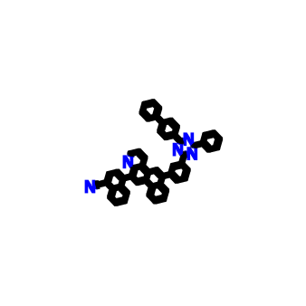 N#Cc1ccc(-c2cc3c4ccccc4c(-c4cccc(-c5nc(-c6ccccc6)nc(-c6ccc(-c7ccccc7)cc6)n5)c4)cc3c3cccnc23)c2ccccc12